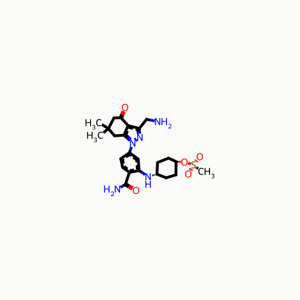 CC1(C)CC(=O)c2c(CN)nn(-c3ccc(C(N)=O)c(N[C@H]4CC[C@H](OS(C)(=O)=O)CC4)c3)c2C1